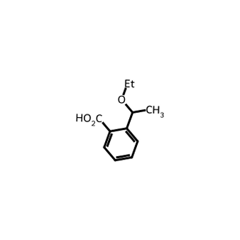 CCOC(C)c1ccccc1C(=O)O